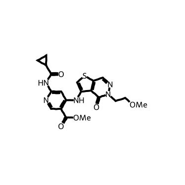 COCCn1ncc2scc(Nc3cc(NC(=O)C4CC4)ncc3C(=O)OC)c2c1=O